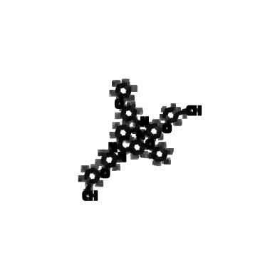 C#Cc1cccc(Oc2ccc3nc(-c4cccc(-c5nc6ccc(Oc7cccc(C#C)c7)cc6nc5-c5ccc(Oc6ccccc6)cc5)c4)c(-c4ccc(Oc5ccccc5)cc4)nc3c2)c1